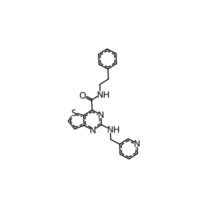 O=C(NCCc1ccccc1)c1nc(NCc2cccnc2)nc2ccsc12